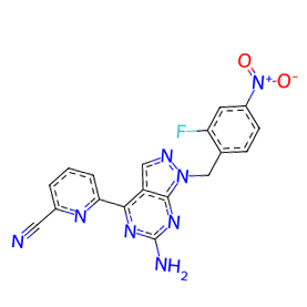 N#Cc1cccc(-c2nc(N)nc3c2cnn3Cc2ccc([N+](=O)[O-])cc2F)n1